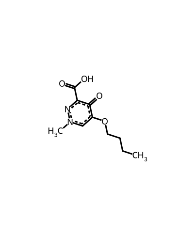 CCCCOc1cn(C)nc(C(=O)O)c1=O